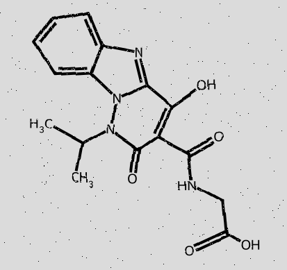 CC(C)n1c(=O)c(C(=O)NCC(=O)O)c(O)c2nc3ccccc3n21